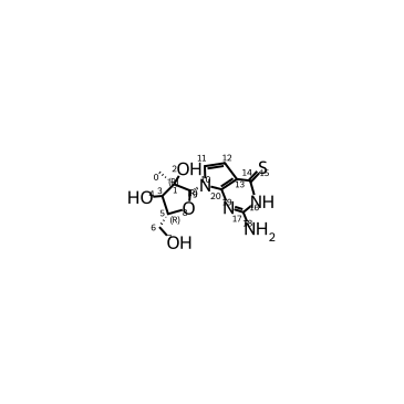 C[C@@]1(O)C(O)[C@@H](CO)O[C@H]1n1ccc2c(=S)[nH]c(N)nc21